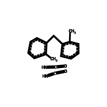 Cc1ccccc1Cc1ccccc1C.N=C=O.N=C=O